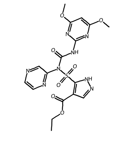 CCOC(=O)c1cn[nH]c1S(=O)(=O)N(C(=O)Nc1nc(OC)cc(OC)n1)c1cnccn1